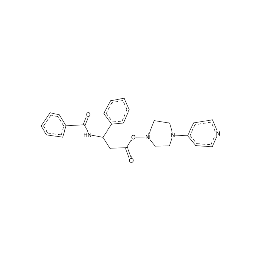 O=C(CC(NC(=O)c1ccccc1)c1ccccc1)ON1CCN(c2ccncc2)CC1